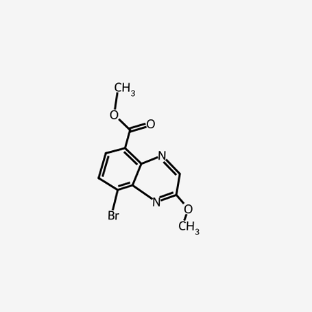 COC(=O)c1ccc(Br)c2nc(OC)cnc12